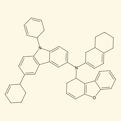 C1=CCC(n2c3ccc(C4C=CCCC4)cc3c3cc(N(C4=CC=C5CCCCC5C4)C4CC=Cc5oc6ccccc6c54)ccc32)C=C1